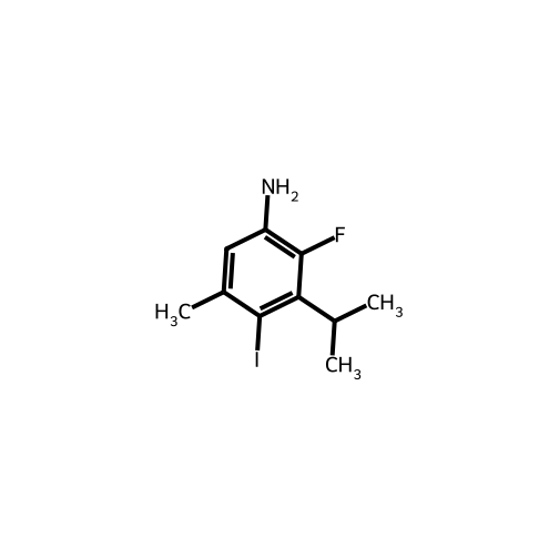 Cc1cc(N)c(F)c(C(C)C)c1I